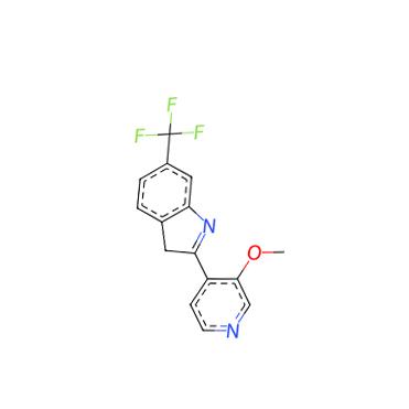 COc1cnccc1C1=Nc2cc(C(F)(F)F)ccc2C1